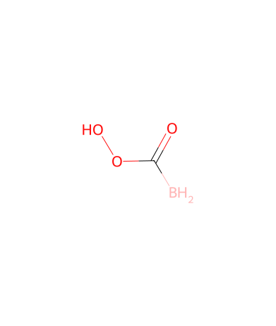 BC(=O)OO